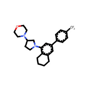 FC(F)(F)c1ccc(-c2cc3c(c(N4CCC(N5CCOCC5)C4)c2)CCCC3)cc1